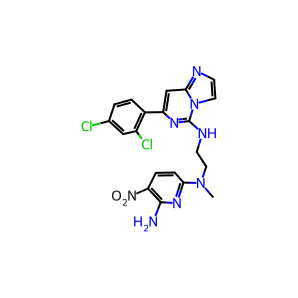 CN(CCNc1nc(-c2ccc(Cl)cc2Cl)cc2nccn12)c1ccc([N+](=O)[O-])c(N)n1